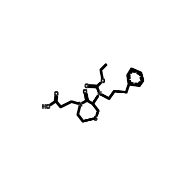 CCOC(=O)N(CCCc1ccccc1)C1CSCCN(CCC(=O)O)C1=O